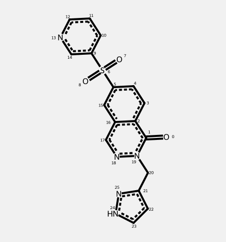 O=c1c2ccc(S(=O)(=O)c3cccnc3)cc2cnn1Cc1cc[nH]n1